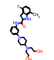 Cc1ccc(F)c2c1NC(C(=O)Nc1cccc(N3CCC(N(CCO)CCO)CC3)c1)C2